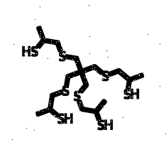 CC(S)CSCC(CSCC(C)S)(CSCC(C)S)CSCC(C)S